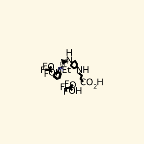 CC/C(=C\c1ccccc1)[C@@H]1C[C@H]1N[C@H]1CC[C@H](NCCCC(=O)O)CC1.O=C(O)C(F)(F)F.O=C(O)C(F)(F)F